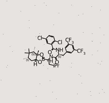 CC(C)C[C@H](NC(=O)[C@H](Cc1cc(C(F)(F)F)cc(C(F)(F)F)c1)NC(=O)c1cc(Cl)ccc1Cl)B1O[C@@H]2C[C@H](C)C(C)(C)[C@H](C)[C@]2(C)O1